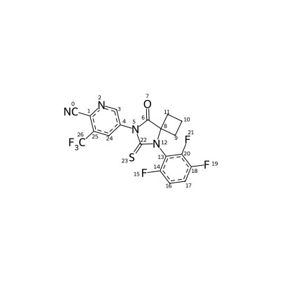 N#Cc1ncc(N2C(=O)C3(CCC3)N(c3c(F)ccc(F)c3F)C2=S)cc1C(F)(F)F